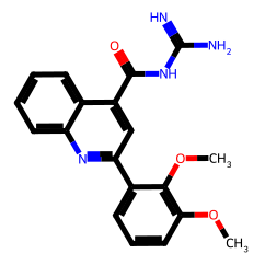 COc1cccc(-c2cc(C(=O)NC(=N)N)c3ccccc3n2)c1OC